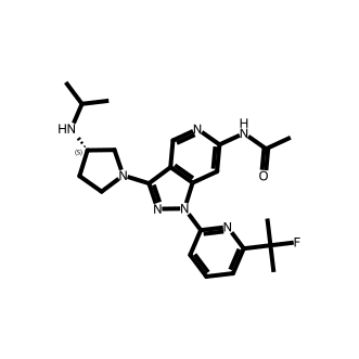 CC(=O)Nc1cc2c(cn1)c(N1CC[C@H](NC(C)C)C1)nn2-c1cccc(C(C)(C)F)n1